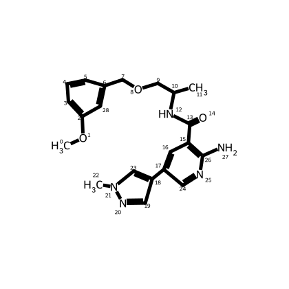 COc1cccc(COCC(C)NC(=O)c2cc(-c3cnn(C)c3)cnc2N)c1